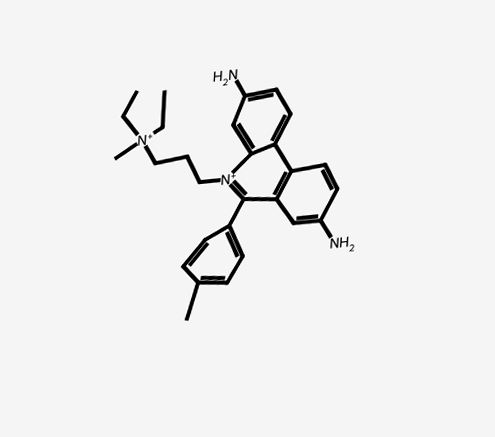 CC[N+](C)(CC)CCC[n+]1c(-c2ccc(C)cc2)c2cc(N)ccc2c2ccc(N)cc21